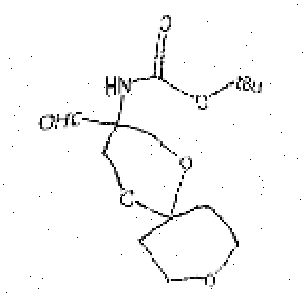 CC(C)(C)OC(=O)NC1(C=O)COC2(CCOCC2)OC1